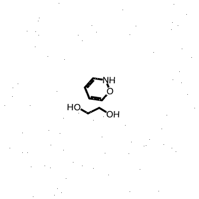 C1=CNOC=C1.OCCO